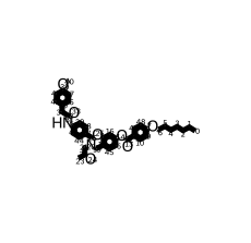 CCCCCCCOc1ccc(C(=O)Oc2ccc(CN(CC(C)=O)C(=O)c3ccc(NC(=O)Cc4ccc(OC)cc4)cc3)cc2)cc1